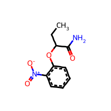 CCC(Oc1ccccc1[N+](=O)[O-])C(N)=O